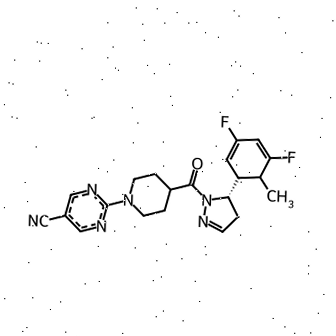 CC1C(F)=CC(F)=CC1[C@@H]1CC=NN1C(=O)C1CCN(c2ncc(C#N)cn2)CC1